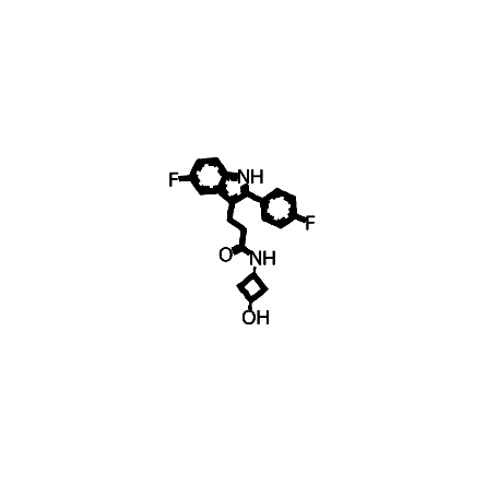 O=C(CCc1c(-c2ccc(F)cc2)[nH]c2ccc(F)cc12)N[C@H]1C[C@H](O)C1